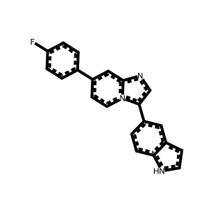 Fc1ccc(-c2ccn3c(-c4ccc5[nH]ccc5c4)cnc3c2)cc1